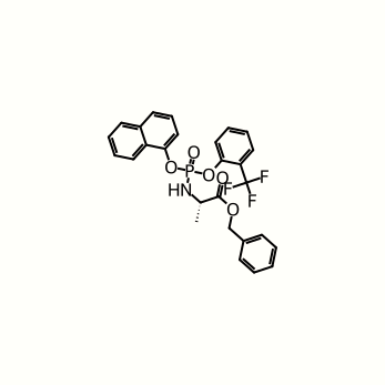 C[C@H](NP(=O)(Oc1ccccc1C(F)(F)F)Oc1cccc2ccccc12)C(=O)OCc1ccccc1